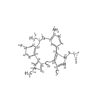 CC1Oc2cc(cnc2N)-c2c(c(Cl)nn2CC2CC2)Cc2cn(C)nc2-c2ccc(F)cc21